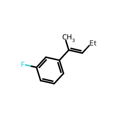 CC/C=C(\C)c1cccc(F)c1